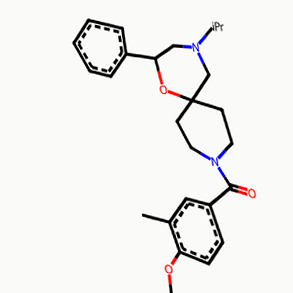 Cc1cc(C(=O)N2CCC3(CC2)CN(C(C)C)CC(c2ccccc2)O3)ccc1OC(C)C